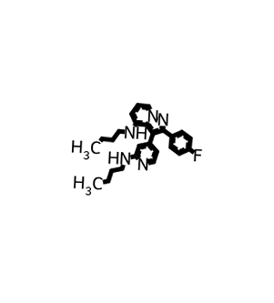 CCCCNc1cc(-c2c(-c3ccc(F)cc3)nn3cccc(NCCCC)c23)ccn1